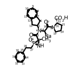 C[C@@]1(C(=O)N(C2Cc3ccccc3C2)[CH]([Na])C(=O)N2CCC[C@H]2C(=O)O)NP1(=O)CCc1ccccc1